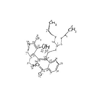 CCCCN(CCCC)CC[N+](=Cc1c(CO)cnc(C)c1O)c1ccccc1C(=O)[O-]